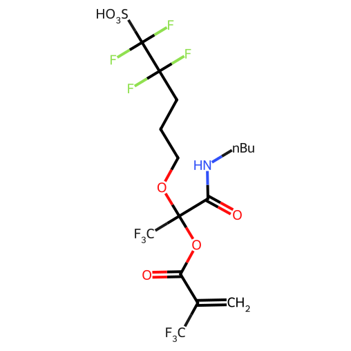 C=C(C(=O)OC(OCCCC(F)(F)C(F)(F)S(=O)(=O)O)(C(=O)NCCCC)C(F)(F)F)C(F)(F)F